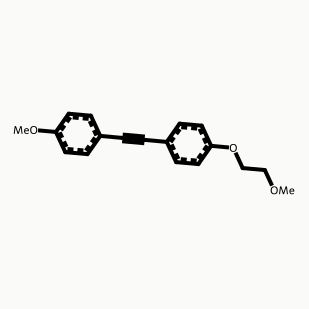 COCCOc1ccc(C#Cc2ccc(OC)cc2)cc1